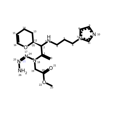 C=C(C(NCCCn1ccnc1)[C@@H]1CCC=CO1)N(CC(=O)OC)/N=N\N